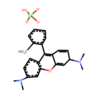 CN(C)c1ccc2c(c1)OC1=CC(N(C)C)C=CC1=C2c1ccccc1C(=O)O.[O-][Cl+3]([O-])([O-])O